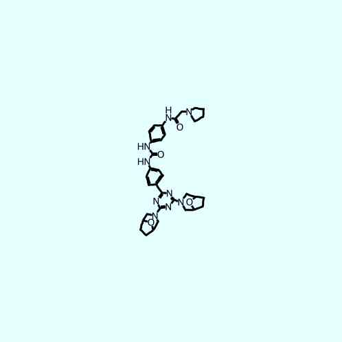 O=C(CN1CCCC1)Nc1ccc(NC(=O)Nc2ccc(-c3nc(N4CC5CCC(C4)O5)nc(N4CC5CCC(C4)O5)n3)cc2)cc1